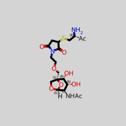 CC(=O)N[C@@H]1[C@H]2OC[C@](COCCN3C(=O)CC(SC[C@H](N)C(C)=O)C3=O)(O2)[C@H](O)[C@@H]1O